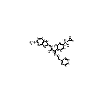 Nc1ccc2nc(NC(=O)/C(=N/OCc3ncccn3)c3ccc(S(=O)(=O)C4CC4)cc3)sc2n1